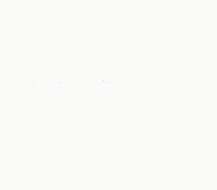 CS(=O)(=O)NCCNCc1ccc(F)cc1Cl